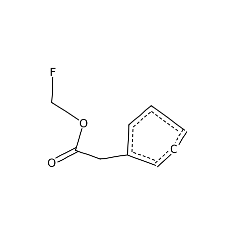 O=C(Cc1ccccc1)OCF